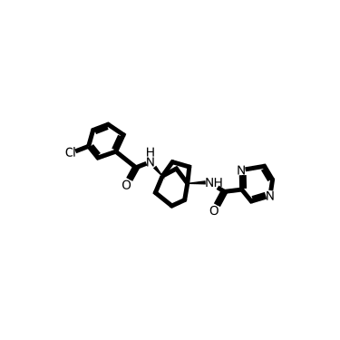 O=C(N[C@@]12CCC[C@@](NC(=O)c3cnccn3)(CC1)C2)c1cccc(Cl)c1